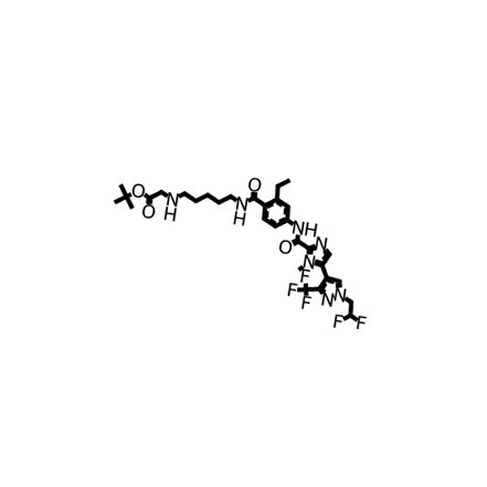 CCc1cc(NC(=O)c2ncc(-c3cn(CC(F)F)nc3C(F)(F)F)n2C)ccc1C(=O)NCCCCCNCC(=O)OC(C)(C)C